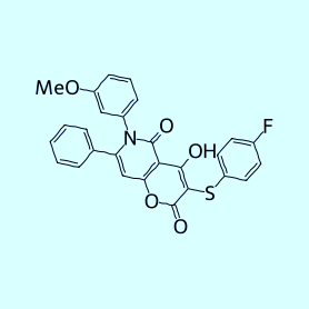 COc1cccc(-n2c(-c3ccccc3)cc3oc(=O)c(Sc4ccc(F)cc4)c(O)c3c2=O)c1